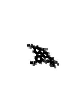 Cc1ccc(C2(c3ccc(C)cc3)C=CC(NC(C)(C)C)C2)cc1.Cl